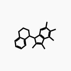 CC1=C(C)C(C2CCCc3ccccc32)c2cc(C)c(C)c(C)c21